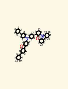 c1ccc(-c2ccc(N(c3ccc(-c4cccc5c4Oc4cccc6c7ccccc7n-5c46)cc3)c3ccc4c(c3)oc3cc(-c5ccccc5)ccc34)cc2)cc1